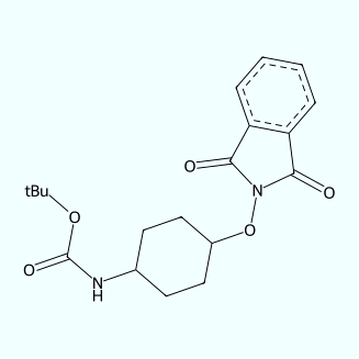 CC(C)(C)OC(=O)NC1CCC(ON2C(=O)c3ccccc3C2=O)CC1